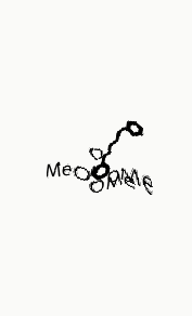 COc1cc(C(=O)CCCCc2ccccc2)cc(OC)c1OC